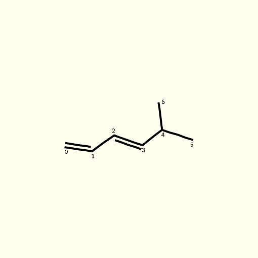 C=C/C=C/C(C)C